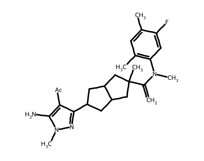 C=C(N(C)c1cc(F)c(C)cc1C)C1(C)CC2CC(c3nn(C)c(N)c3C(C)=O)CC2C1